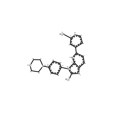 Cc1nc2ccc(-c3ccnc(N)c3)nc2n1-c1ccc(N2CCOCC2)cc1